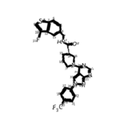 O=C(NCc1ccc2scc(F)c2c1)[C@@H]1CCCN(c2ncnc3nn(-c4ccc(C(F)(F)F)cc4)cc23)C1